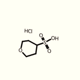 Cl.O=S(=O)(O)C1CCOCC1